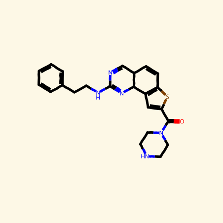 O=C(c1cc2c(s1)C=CC1C=NC(NCCc3ccccc3)=NC21)N1CCNCC1